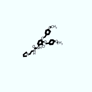 COc1ccc(COc2ccc(NC(=O)NCCN3CCCC3)c(Cl)c2OCc2ccc(OC)cc2)cc1